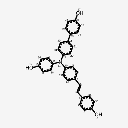 Oc1ccc(C=Cc2ccc(N(c3ccc(O)cc3)c3ccc(-c4ccc(O)cc4)cc3)cc2)cc1